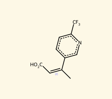 C/C(=C/C(=O)O)c1ccc(C(F)(F)F)nc1